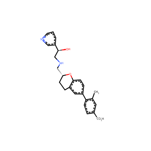 Cc1cc(C(=O)O)ccc1-c1ccc2c(c1)CC[C@H](CNC[C@H](O)c1cccnc1)O2